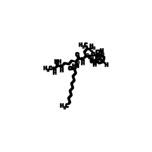 CCCCCCCCCCC(=O)N[C@@H](CCCNC(=N)NC)C(=O)N[C@@H](CC(C)C)B1O[C@@H]2C[C@@H]3C[C@@H](C3(C)C)[C@]2(C)O1